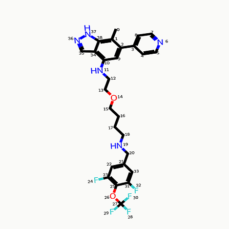 Cc1c(-c2ccncc2)cc(NCCOCCCCNCc2cc(F)c(OC(F)(F)F)c(F)c2)c2cn[nH]c12